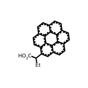 CCC(C(=O)O)c1cc2ccc3ccc4ccc5ccc6ccc1c1c6c5c4c3c21